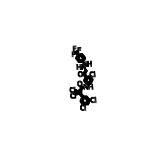 O=C(CNNc1ccc(C(F)(F)F)cc1)c1cc(NC(=O)C2C(c3cc(Cl)cc(Cl)c3)C2(Cl)Cl)ccc1Cl